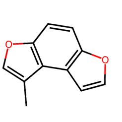 Cc1coc2ccc3occc3c12